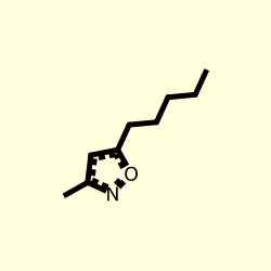 CCCCCc1cc(C)no1